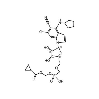 N#Cc1c(Cl)nc2c(ccn2[C@@H]2O[C@H](COCP(=O)(O)OCOC(=O)C3CC3)[C@@H](O)[C@H]2O)c1NC1CCCC1